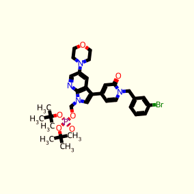 CC(C)(C)OP(=O)(OCn1cc(-c2ccn(Cc3cccc(Br)c3)c(=O)c2)c2cc(N3CCOCC3)cnc21)OC(C)(C)C